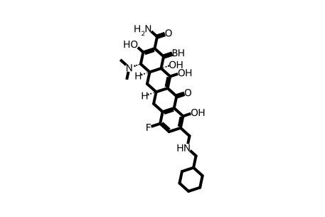 B=C1C(C(N)=O)=C(O)[C@@H](N(C)C)[C@@H]2C[C@@H]3Cc4c(F)cc(CNCC5CCCCC5)c(O)c4C(=O)C3=C(O)[C@]12O